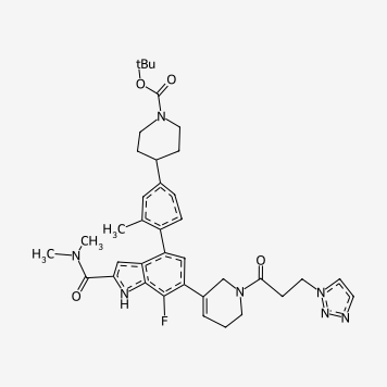 Cc1cc(C2CCN(C(=O)OC(C)(C)C)CC2)ccc1-c1cc(C2=CCCN(C(=O)CCn3ccnn3)C2)c(F)c2[nH]c(C(=O)N(C)C)cc12